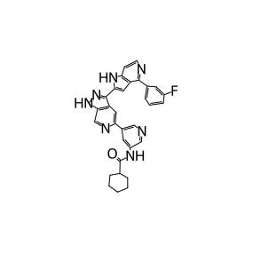 O=C(Nc1cncc(-c2cc3c(-c4cc5c(-c6cccc(F)c6)nccc5[nH]4)n[nH]c3cn2)c1)C1CCCCC1